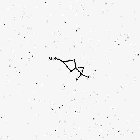 CNC1CC2(C1)CC2(F)F